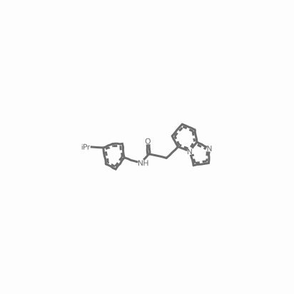 CC(C)c1ccc(NC(=O)Cc2cccc3nccn23)cc1